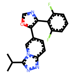 CC(C)c1nnc2ccc(-c3ocnc3-c3c(F)cccc3F)cn12